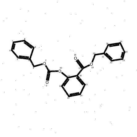 O=C(OCc1ccccc1)Oc1ccccc1C(=O)OCc1ccccc1